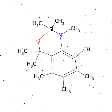 Cc1c(C)c(C)c2c(c1C)N(C)[Si](C)(C)OC2(C)C